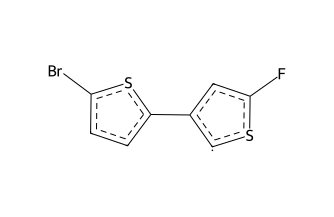 Fc1cc(-c2ccc(Br)s2)[c]s1